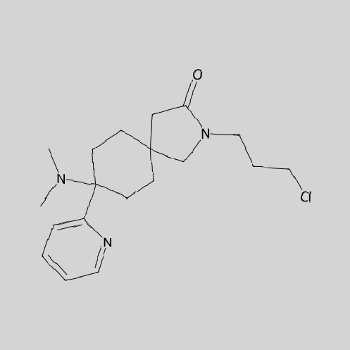 CN(C)C1(c2ccccn2)CCC2(CC1)CC(=O)N(CCCCl)C2